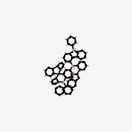 c1ccc(-c2ccc3cc(-c4ccccc4N(c4ccc5c(c4)C4(c6ccccc6-c6ccccc64)c4ccccc4N5c4ccccc4)c4cccc5c4c4ccccc4n5-c4ccccc4)oc3c2)cc1